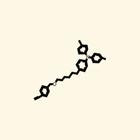 C=Cc1ccc(COCCCCCCc2ccc(N(c3ccc(C)cc3)c3ccc(C)cc3)cc2)cc1